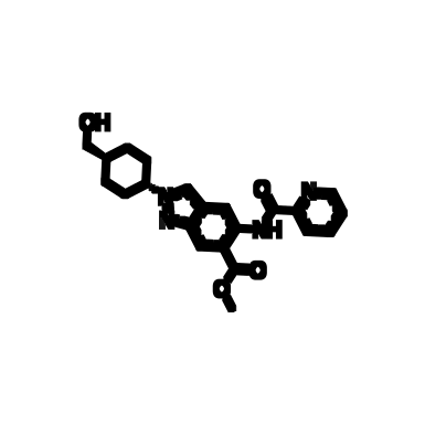 COC(=O)c1cc2nn([C@H]3CC[C@H](CO)CC3)cc2cc1NC(=O)c1ccccn1